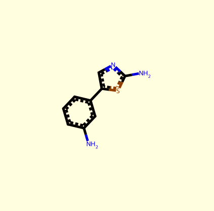 Nc1cccc(-c2cnc(N)s2)c1